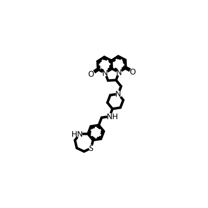 O=c1ccc2ccc(=O)n3c2n1CC3CN1CCC(NCc2ccc3c(c2)NCCCS3)CC1